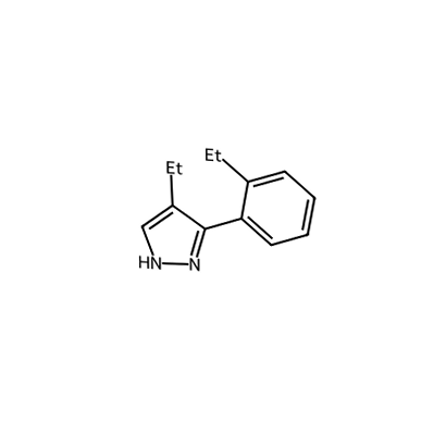 CCc1ccccc1-c1n[nH]cc1CC